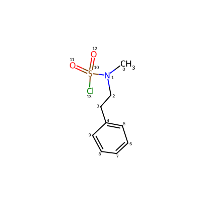 CN(CCc1ccccc1)S(=O)(=O)Cl